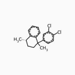 C[C@H]1CCC(C)(c2ccc(Cl)c(Cl)c2)c2ccccc21